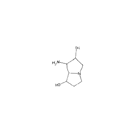 NC1C(O)CN2CCC(O)C12